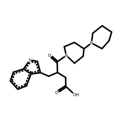 O=C(O)CC(Cc1csc2ccccc12)C(=O)N1CCC(N2CCCCC2)CC1